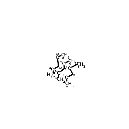 COCOC.COCOC.COCOC